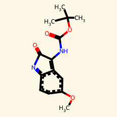 COc1ccc2c(c1)=C(NC(=O)OC(C)(C)C)C(=O)N=2